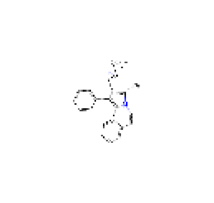 CC(C)c1c(/C=C/C(=O)O)c(-c2ccccc2)c2c3ccccc3ccn12